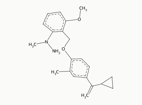 C=C(c1ccc(OCc2c(OC)cccc2N(C)N)c(C)c1)C1CC1